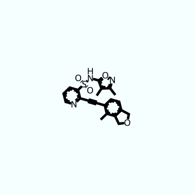 Cc1noc(NS(=O)(=O)c2cccnc2C#Cc2ccc3c(c2C)COC3)c1C